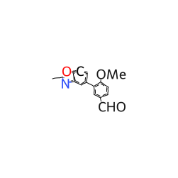 COc1ccc(C=O)cc1-c1ccc2oc(C)nc2c1